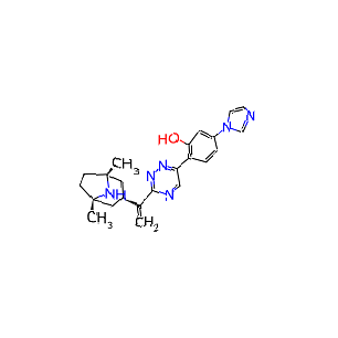 C=C(c1ncc(-c2ccc(-n3ccnc3)cc2O)nn1)[C@H]1C[C@]2(C)CC[C@](C)(C1)N2